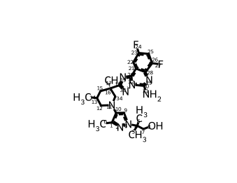 Cc1nn(C(C)(C)CO)cc1N1CC(C)C[C@@](C)(c2nc3c4cc(F)cc(F)c4nc(N)n3n2)C1